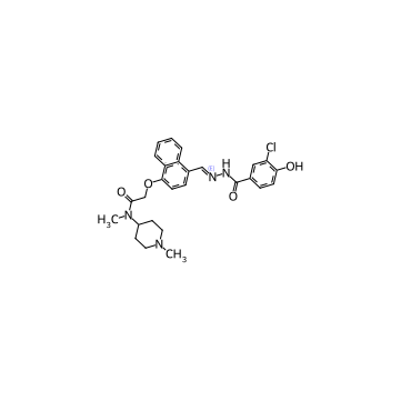 CN1CCC(N(C)C(=O)COc2ccc(/C=N/NC(=O)c3ccc(O)c(Cl)c3)c3ccccc23)CC1